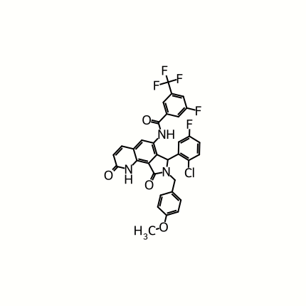 COc1ccc(CN2C(=O)c3c(c(NC(=O)c4cc(F)cc(C(F)(F)F)c4)cc4ccc(=O)[nH]c34)C2c2cc(F)ccc2Cl)cc1